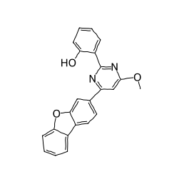 COc1cc(-c2ccc3c(c2)oc2ccccc23)nc(-c2ccccc2O)n1